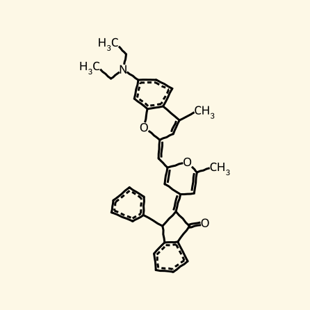 CCN(CC)c1ccc2c(c1)O/C(=C/C1=CC(=C3/C(=O)c4ccccc4C3c3ccccc3)/C=C(C)O1)C=C2C